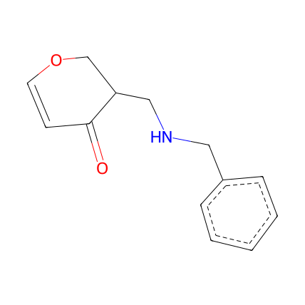 O=C1C=COCC1CNCc1ccccc1